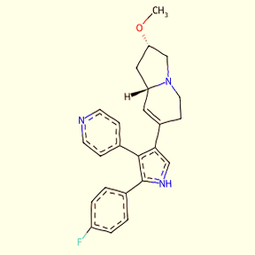 CO[C@H]1C[C@H]2C=C(c3c[nH]c(-c4ccc(F)cc4)c3-c3ccncc3)CCN2C1